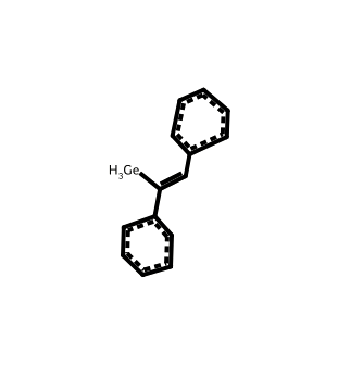 [GeH3][C](=Cc1ccccc1)c1ccccc1